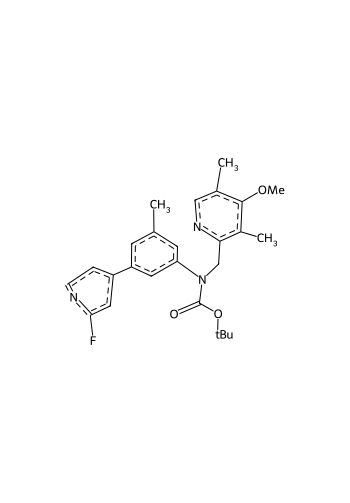 COc1c(C)cnc(CN(C(=O)OC(C)(C)C)c2cc(C)cc(-c3ccnc(F)c3)c2)c1C